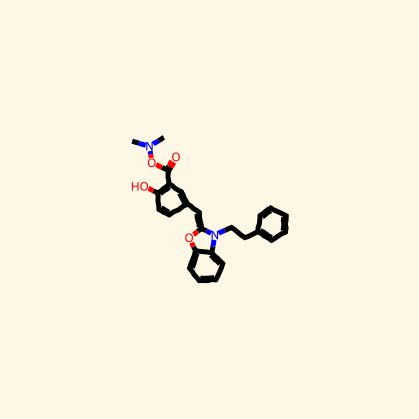 CN(C)OC(=O)c1cc(/C=C2\Oc3ccccc3N2CCc2ccccc2)ccc1O